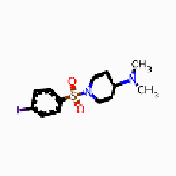 CN(C)C1CCN(S(=O)(=O)c2ccc(I)cc2)CC1